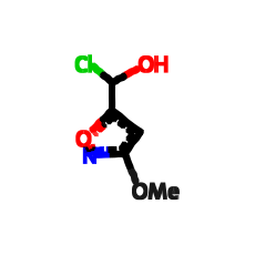 COc1cc(C(O)Cl)on1